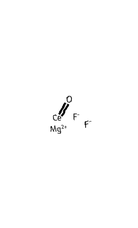 [F-].[F-].[Mg+2].[O]=[Ce]